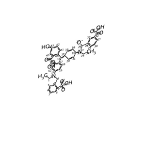 CCN(Cc1ccccc1S(=O)(=O)O)c1ccc(C(=C2C=CC(=[N+](CC)C([O-])c3cccc(S(=O)(=O)O)c3)C=C2)c2ccc(O)cc2S(=O)(=O)O)cc1